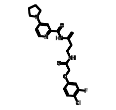 C=C(CCNC(=O)COc1ccc(Cl)c(F)c1)NC(=O)c1cc(N2CCCC2)ccn1